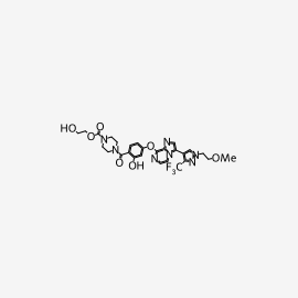 COCCn1cc(-c2cnc3c(Oc4ccc(C(=O)N5CCN(C(=O)OCCO)CC5)c(O)c4)nccn23)c(C(F)(F)F)n1